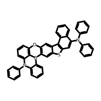 c1ccc(N2c3ccccc3B3c4cc5sc6cc(N(c7ccccc7)c7ccccc7)c7ccccc7c6c5cc4Oc4cccc2c43)cc1